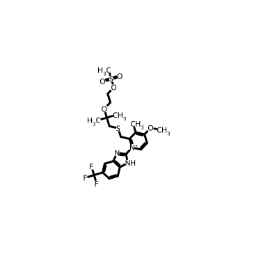 COc1cc[n+](-c2nc3cc(C(F)(F)F)ccc3[nH]2)c(CSCC(C)(C)OCCOS(C)(=O)=O)c1C